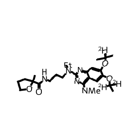 [2H]C([2H])(C)Oc1cc2c(NC)nc(N(CC)CCCNC(=O)C3(C)CCCO3)nc2cc1OC([2H])(C)C